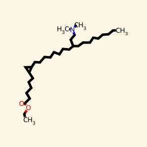 CCCCCCCCCC(CCCCCCCCC1CC1CCCCCC(=O)OCC)CCN(C)C